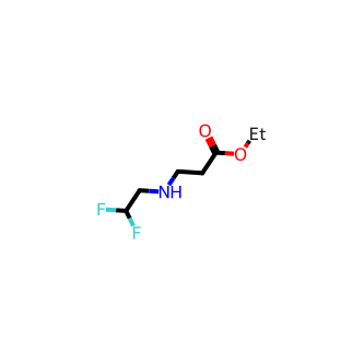 CCOC(=O)CCNCC(F)F